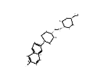 CC[C@H]1CC[C@H](CC[C@H]2CC[C@H](c3ccc4cc(F)ccc4c3)CC2)CC1